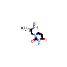 O=C(O)[C@H](Cn1ccc(=O)[nH]c1=O)NBr